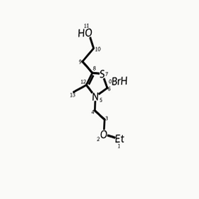 Br.CCOCCN1CSC(CCO)=C1C